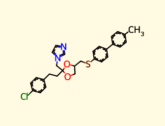 Cc1ccc(-c2ccc(SCC3COC(CCc4ccc(Cl)cc4)(Cn4ccnc4)O3)cc2)cc1